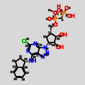 COP(=O)(CP(=O)(O)O)OC[C@H]1C[C@@H](n2nnc3c(N[C@H]4CCc5ccccc54)nc(Cl)nc32)[C@H](O)[C@@H]1O